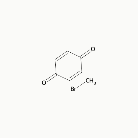 CBr.O=C1C=CC(=O)C=C1